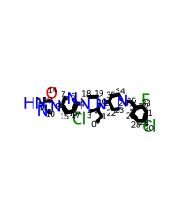 CCC1CN(c2ncc(-n3cn[nH]c3=O)cc2Cl)CCN1C1CCN(Cc2ccc(Cl)cc2F)CC1